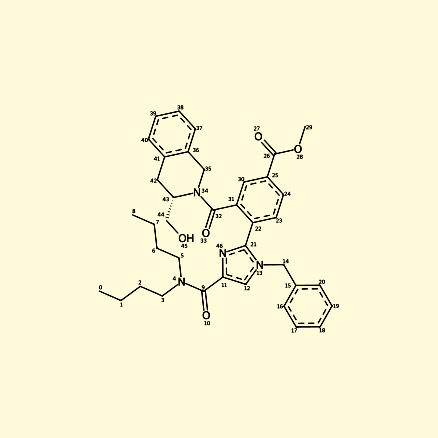 CCCCN(CCCC)C(=O)c1cn(Cc2ccccc2)c(-c2ccc(C(=O)OC)cc2C(=O)N2Cc3ccccc3C[C@H]2CO)n1